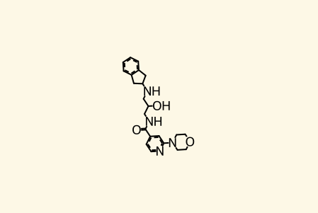 O=C(NCC(O)CNC1Cc2ccccc2C1)c1ccnc(N2CCOCC2)c1